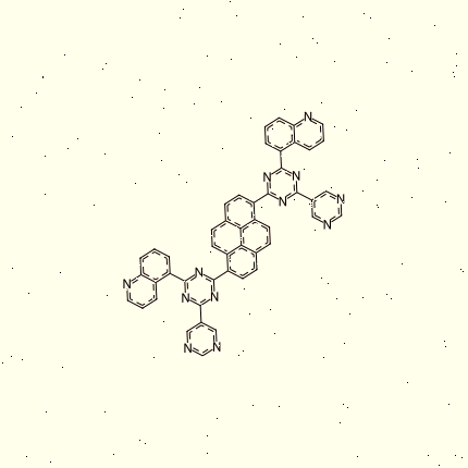 c1cc(-c2nc(-c3cncnc3)nc(-c3ccc4ccc5c(-c6nc(-c7cncnc7)nc(-c7cccc8ncccc78)n6)ccc6ccc3c4c65)n2)c2cccnc2c1